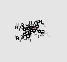 CC(C)(C)C1=CCC(N(c2ccc(C(C)(C)C)cc2)c2ccc3c(c2)C2(c4ccccc4Oc4ccccc42)c2cc(N(c4ccc(C(C)(C)C)cc4)c4ccc(C(C)(C)C)cc4)c4c5c(oc4c2-3)C=CCC5)C=C1